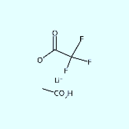 CC(=O)O.O=C([O-])C(F)(F)F.[Li+]